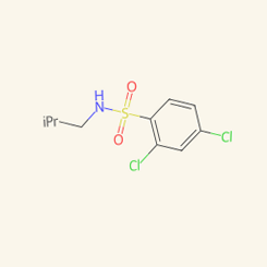 CC(C)CNS(=O)(=O)c1ccc(Cl)cc1Cl